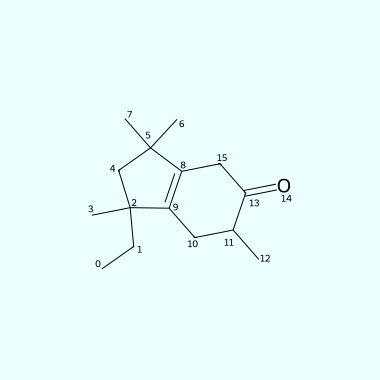 CCC1(C)CC(C)(C)C2=C1CC(C)C(=O)C2